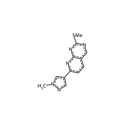 CSc1ncc2ccc(-c3cnn(C)c3)nc2n1